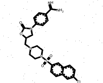 N=C(N)c1ccc(N2CC(CN3CCN(S(=O)(=O)c4ccc5cc(Cl)ccc5c4)CC3)OC2=O)cc1